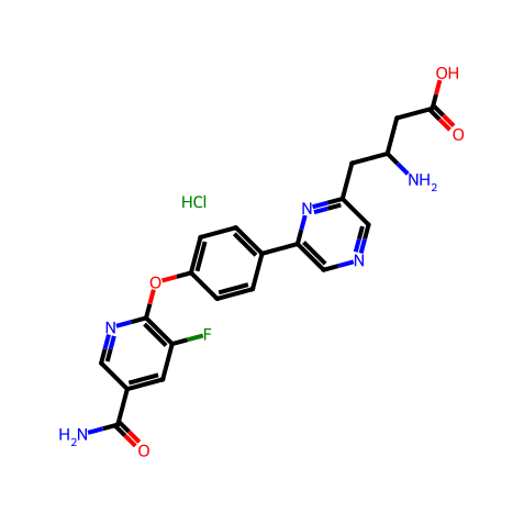 Cl.NC(=O)c1cnc(Oc2ccc(-c3cncc(CC(N)CC(=O)O)n3)cc2)c(F)c1